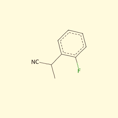 CC(C#N)c1ccccc1F